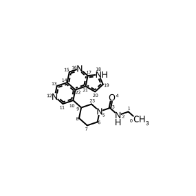 CCNC(=O)N1CCCC(c2cncc3cnc4[nH]ccc4c23)C1